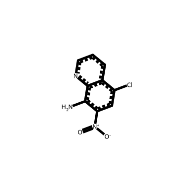 Nc1c([N+](=O)[O-])cc(Cl)c2cccnc12